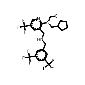 CCN(CC1CCCC1)c1ncc(C(F)(F)F)cc1CNCc1cc(C(F)(F)F)cc(C(F)(F)F)c1